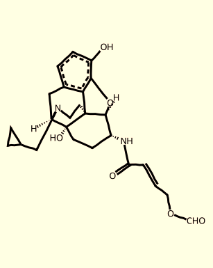 O=COC/C=C/C(=O)N[C@@H]1CC[C@@]2(O)[C@H]3Cc4ccc(O)c5c4[C@@]2(CCN3CC2CC2)[C@H]1O5